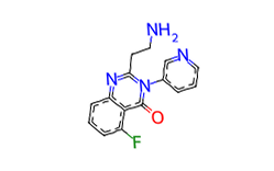 NCCc1nc2cccc(F)c2c(=O)n1-c1cccnc1